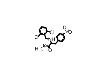 COC(=O)C(Cc1ccc([N+](=O)[O-])cc1)NCc1c(Cl)cccc1Cl